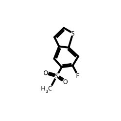 CS(=O)(=O)c1cc2ccsc2cc1F